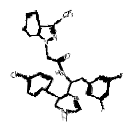 O=C(Cn1nc(C(F)(F)F)c2c1CCCC2)NC(Cc1cc(F)cc(F)c1)C1=C(c2ccc(Cl)cc2)CNC=N1